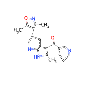 Cc1noc(C)c1-c1cnc2[nH]c(C)c(C(=O)c3cccnc3)c2c1